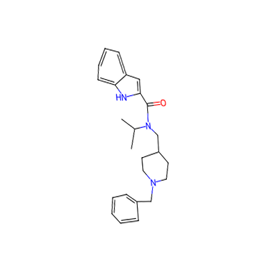 CC(C)N(CC1CCN(Cc2ccccc2)CC1)C(=O)c1cc2ccccc2[nH]1